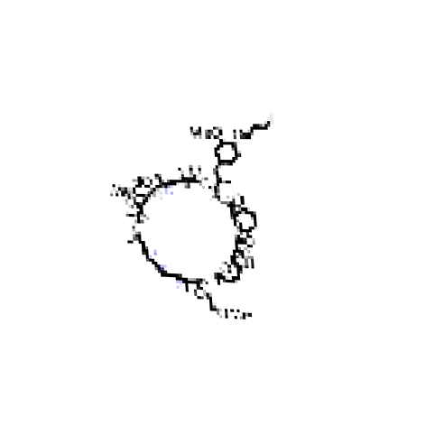 COCCO[C@@H]1C[C@@H]2CC[C@@H](C)[C@@](O)(O2)C(=O)C(=O)N2CCCC[C@H]2C(=O)O[C@H]([C@H](C)C[C@@H]2CC[C@@H](OCCCI)[C@H](OC)C2)CC(=O)[C@H](C)/C=C(\C)[C@@H](O)[C@@H](OC)C(=O)[C@H](C)C[C@H](C)/C=C/C=C/C=C/1C